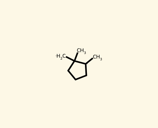 [CH2]C1(C)CCC[C]1C